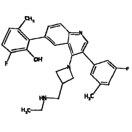 CCNCC1CN(c2c(-c3cc(C)cc(F)c3)cnc3ccc(-c4c(C)ccc(F)c4O)cc23)C1